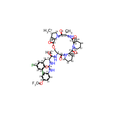 C[C@H]1C[C@H]2C(=O)O[C@@H](C)[C@H](NC(=O)[C@H](Cc3cc(F)cc(F)c3)NC(=O)Nc3ccc(OC(F)(F)F)cc3)C(=O)N3CCCC[C@H]3C(=O)N3CCCC[C@H]3C(=O)N[C@@H](C)C(=O)N2C1